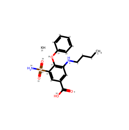 CCCCNc1cc(C(=O)O)cc(S(N)(=O)=O)c1Oc1ccccc1.[KH]